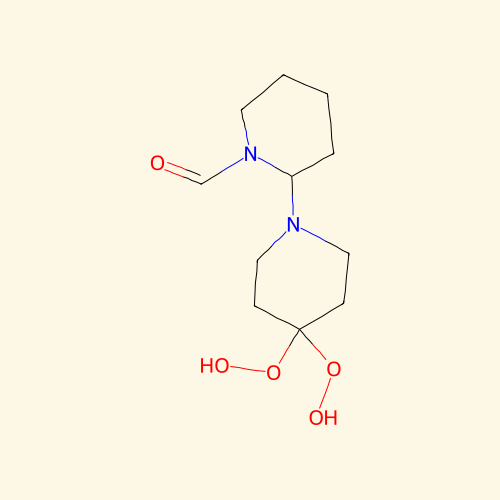 O=CN1CCCCC1N1CCC(OO)(OO)CC1